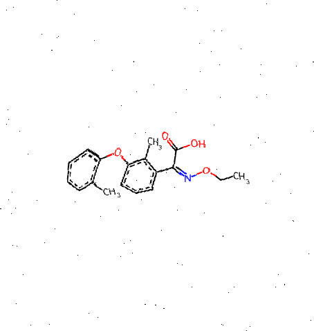 CCO/N=C(\C(=O)O)c1cccc(Oc2ccccc2C)c1C